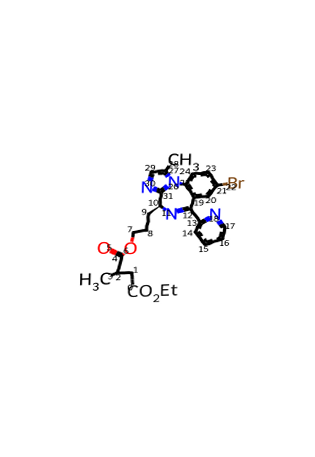 CCOC(=O)CC(C)C(=O)OCCC[C@@H]1N=C(c2ccccn2)c2cc(Br)ccc2-n2c(C)cnc21